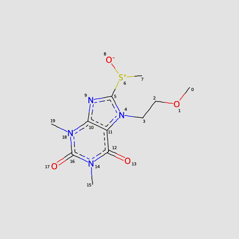 COCCn1c([S+](C)[O-])nc2c1c(=O)n(C)c(=O)n2C